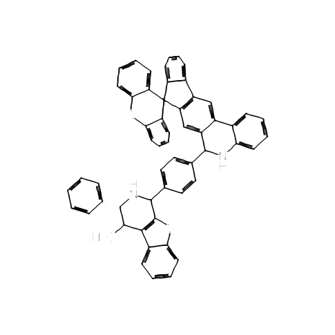 CC1c2c(sc3ccccc23)C(c2ccc(C3Nc4ccccc4-c4cc5c(cc43)C3(c4ccccc4Sc4ccccc43)c3ccccc3-5)cc2)N[C@H]1c1ccccc1